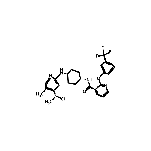 Cc1cnc(N[C@H]2CC[C@@H](NC(=O)c3cccnc3Oc3cccc(C(F)(F)F)c3)CC2)nc1N(C)C